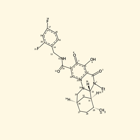 CCN1C(=O)c2c(O)c(=O)c(C(=O)NCc3ccc(F)cc3F)cn2N2C[C@@H]3CC[C@@H](C)[C@@H](C3)[C@@H]12